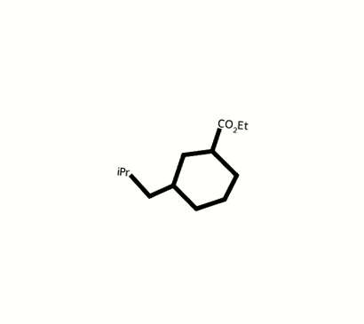 CCOC(=O)C1CCCC(CC(C)C)C1